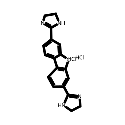 Cl.Cl.c1cc2c(cc1C1=NCCN1)oc1cc(C3=NCCN3)ccc12